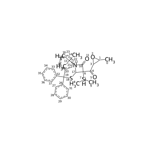 CC1OC1C(=O)C1([SiH](C)C)C(=O)N(C(C)(C)C)C1SC(c1ccccc1)(c1ccccc1)c1ccccc1